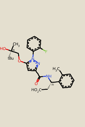 Cc1ccccc1[C@H](CC(=O)O)NC(=O)c1cc(OC[C@](C)(O)C(C)(C)C)n(-c2ccccc2F)n1